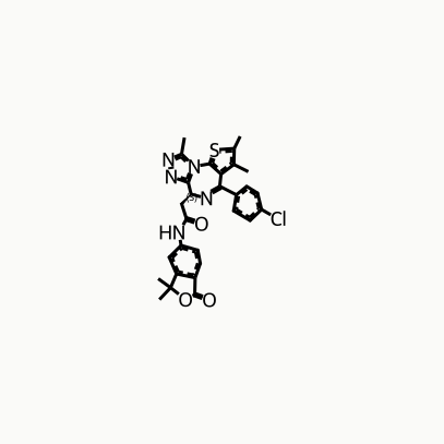 Cc1sc2c(c1C)C(c1ccc(Cl)cc1)=N[C@@H](CC(=O)Nc1ccc3c(c1)C(C)(C)OC3=O)c1nnc(C)n1-2